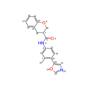 Cc1cc(NC(=O)C2COc3ccccc3C2)ccc1-c1cnco1